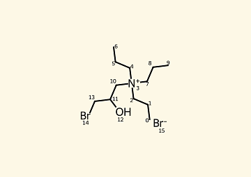 CCC[N+](CCC)(CCC)CC(O)CBr.[Br-]